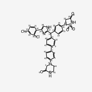 O=C1CN(c2ccc(-c3ccc(C(c4ccc(N5CC(=O)NS5(=O)=O)cc4)c4nc(-c5ccc(Cl)cc5Cl)c[nH]4)cc3)cc2)CCN1